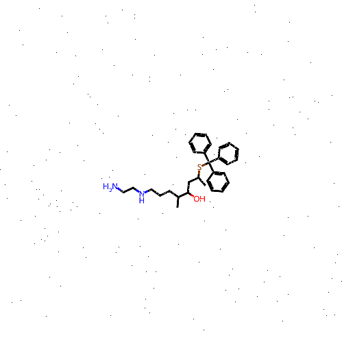 CC(CC(O)C(C)CCCNCCN)SC(c1ccccc1)(c1ccccc1)c1ccccc1